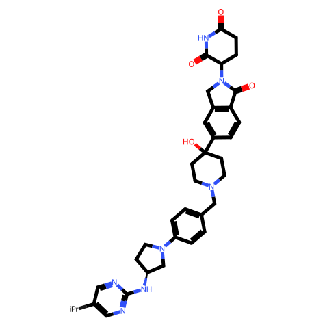 CC(C)c1cnc(N[C@H]2CCN(c3ccc(CN4CCC(O)(c5ccc6c(c5)CN(C5CCC(=O)NC5=O)C6=O)CC4)cc3)C2)nc1